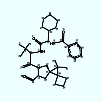 CC(C)(C)C(NC(=O)[C@@H](NC(=O)c1cnccn1)C1CCCCC1)C(=O)N1C[C@@]2(CC1C=O)C(C)(C)C21CCC1